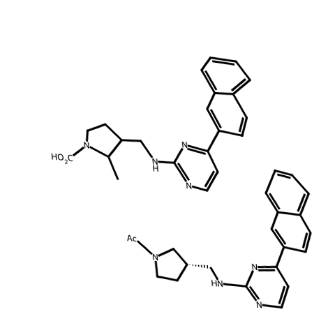 CC(=O)N1CC[C@@H](CNc2nccc(-c3ccc4ccccc4c3)n2)C1.CC1C(CNc2nccc(-c3ccc4ccccc4c3)n2)CCN1C(=O)O